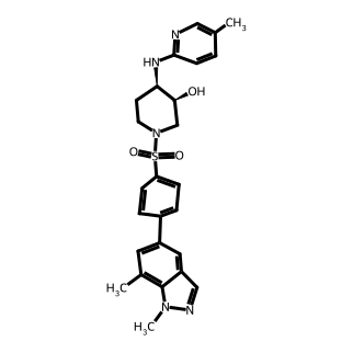 Cc1ccc(N[C@@H]2CCN(S(=O)(=O)c3ccc(-c4cc(C)c5c(cnn5C)c4)cc3)C[C@@H]2O)nc1